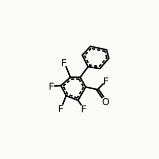 O=C(F)c1c(F)c(F)c(F)c(F)c1-c1ccccc1